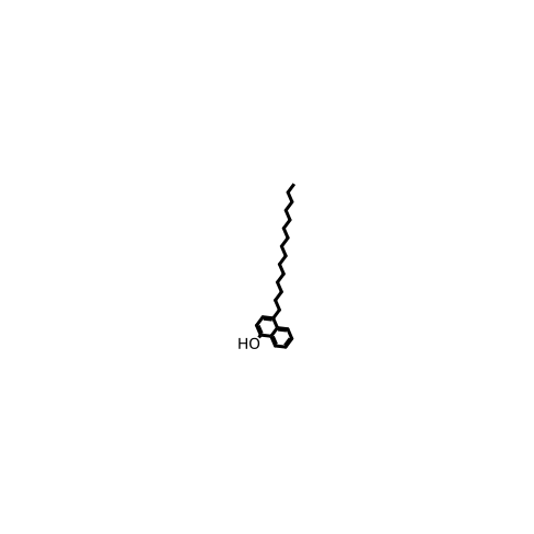 CCCCCCCCCCCCCCCc1ccc(O)c2ccccc12